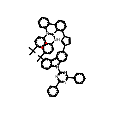 CC(C)(C)c1ccc(NB2c3c(cccc3C3C=CC(c4ccc5c(c4)c4ccccc4n5-c4nc(-c5ccccc5)nc(-c5ccccc5)n4)=C3)-c3ccccc3N2c2ccc(C(C)(C)C)cc2)cc1